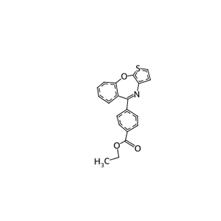 CCOC(=O)c1ccc(C2=Nc3ccsc3Oc3ccccc32)cc1